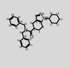 O=C(C1CCc2c(cnn2C2CCCCC2)C1)N(Cc1ccccc1)Cc1ccccc1